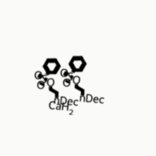 CCCCCCCCCCCCOS(=O)(=O)c1ccccc1.CCCCCCCCCCCCOS(=O)(=O)c1ccccc1.[CaH2]